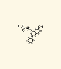 CC(=O)NCCc1cc(-c2ccccc2)cc2ccc(O)cc12